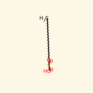 CCCCCCCCCCCCCCCCCCCCCCCCCCCCCCOC(=O)CCSCCC(=O)O